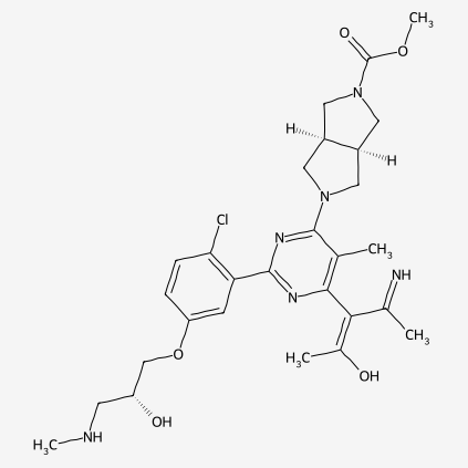 CNC[C@@H](O)COc1ccc(Cl)c(-c2nc(/C(C(C)=N)=C(\C)O)c(C)c(N3C[C@H]4CN(C(=O)OC)C[C@H]4C3)n2)c1